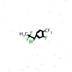 CC(F)(F)C(Br)c1ccc(C(F)(F)F)c(F)c1